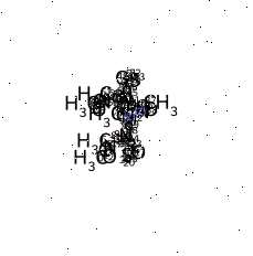 CC(=O)ON=C(C)c1ccc2c(c1)c1cc(C(=O)c3cccs3)ccc1n2-c1ccc(/C(C/C(=N/OC(C)=O)c2ccc(-n3c4ccc(C(=O)c5cccs5)cc4c4cc(C(C)=NOC(C)=O)ccc43)cc2)=N\OC(C)=O)cc1